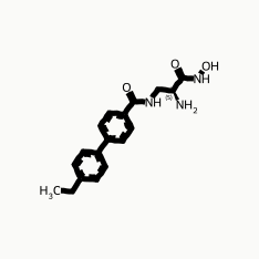 CCc1ccc(-c2ccc(C(=O)NC[C@H](N)C(=O)NO)cc2)cc1